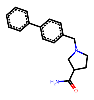 NC(=O)C1CCN(Cc2ccc(-c3ccccc3)cc2)C1